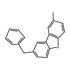 Cc1ccc2sc3ccc(Cc4ccccc4)cc3c2c1